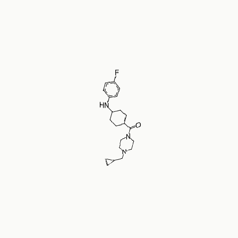 O=C(C1CCC(Nc2ccc(F)cc2)CC1)N1CCN(CC2CC2)CC1